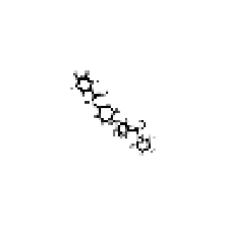 O=C(NC1CCC(n2cc(C(=O)N3CCCC3)nn2)CC1)c1ccc(F)cc1